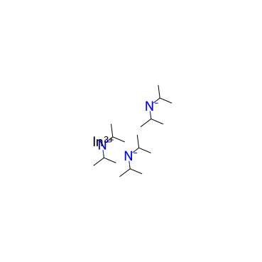 CC(C)[N-]C(C)C.CC(C)[N-]C(C)C.CC(C)[N-]C(C)C.[In+3]